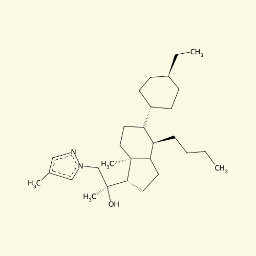 CCCC[C@H]1C2CC[C@H]([C@@](C)(O)Cn3cc(C)cn3)[C@@]2(C)CCC1[C@H]1CC[C@H](CC)CC1